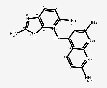 CC(C)(C)c1cc(N[n+]2c(C(C)(C)C)ccc3nc(N)[nH]c32)c2ccc(N)nc2n1